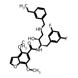 CCc1cccc(CNC[C@H](O)[C@@H](Cc2cc(F)cc(F)c2)NC(=O)c2cc(OC)c3occc3c2OC)c1